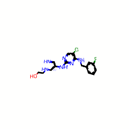 N=C/C(=C\NCCO)Nc1ncc(Cl)c(NCc2cccc(F)c2)n1